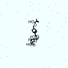 C=C(C)[C@@H](O)OCC1CC2CC1CC2C(=O)OC(CS(=O)(=O)O)(C(F)(F)F)C(F)(F)F